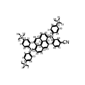 C[Si](C)(C)c1ccc(N(c2ccc([Si](C)(C)C)cc2)c2ccc3ccc4c(N(c5ccc([Si](C)(C)C)cc5)c5cccc(C#N)c5)ccc5ccc2c3c54)cc1